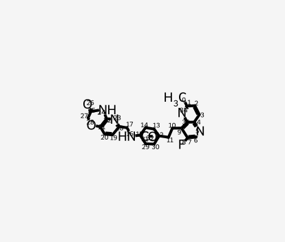 Cc1ccc2ncc(F)c(CCC34CCC(NCc5ccc6c(n5)NC(=O)CO6)(CC3)CO4)c2n1